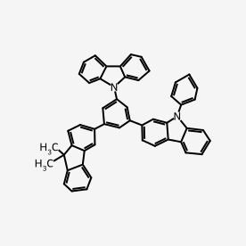 CC1(C)c2ccccc2-c2cc(-c3cc(-c4ccc5c6ccccc6n(-c6ccccc6)c5c4)cc(-n4c5ccccc5c5ccccc54)c3)ccc21